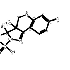 CCC1(CC)N(P(=O)(O)O)N=C2c3ccc(Cl)cc3OCC21C